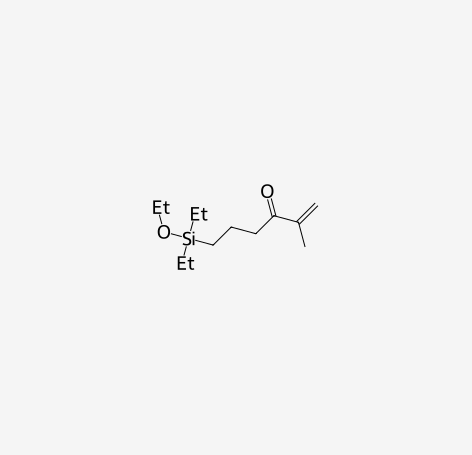 C=C(C)C(=O)CCC[Si](CC)(CC)OCC